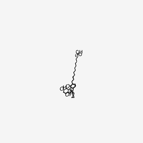 O=C(O)OCCCCCCCCCCCCc1ccc2c3c1O[C@H]1C(=O)CC[C@@]4(O)C(C2)N(CC2CC2)CC[C@]314